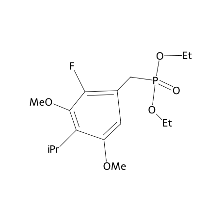 CCOP(=O)(Cc1cc(OC)c(C(C)C)c(OC)c1F)OCC